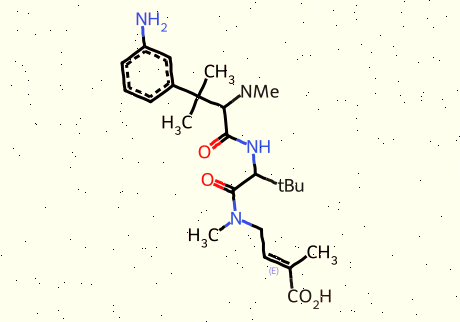 CNC(C(=O)NC(C(=O)N(C)C/C=C(\C)C(=O)O)C(C)(C)C)C(C)(C)c1cccc(N)c1